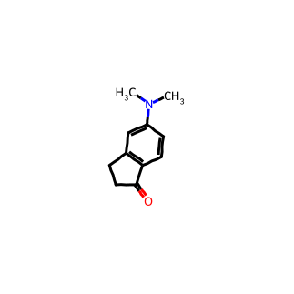 CN(C)c1ccc2c(c1)CCC2=O